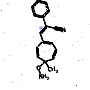 CC1(ON)C=CC=C(/C=C(\C#N)c2ccccc2)C=C1